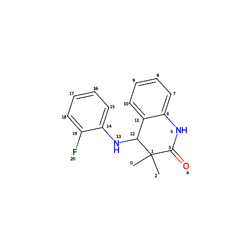 CC1(C)C(=O)Nc2ccccc2C1Nc1ccccc1F